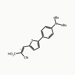 CCCCN(CCCC)c1ccc(-c2ccc(/C=C(\C#N)C(=O)O)s2)cc1